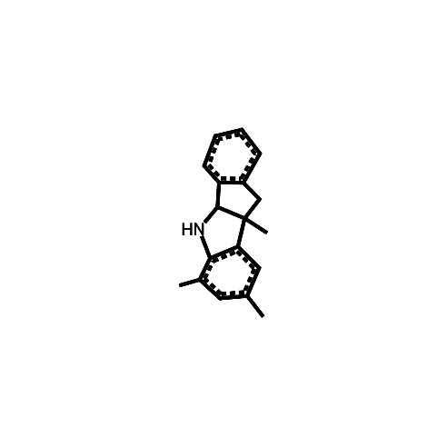 Cc1cc(C)c2c(c1)C1(C)Cc3ccccc3C1N2